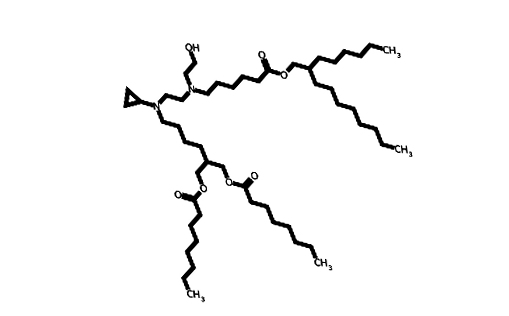 CCCCCCCCC(CCCCCC)COC(=O)CCCCCN(CCO)CCN(CCCCC(COC(=O)CCCCCCC)COC(=O)CCCCCCC)C1CC1